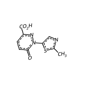 Cc1ncc(-n2nc(C(=O)O)ccc2=O)s1